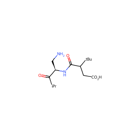 CC(C)C(=O)[C@@H](CN)NC(=O)C(CC(=O)O)C(C)(C)C